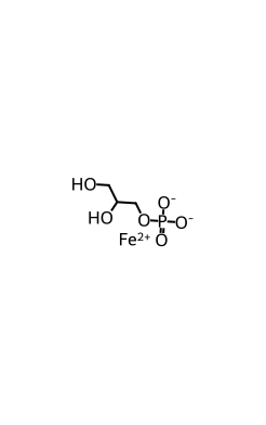 O=P([O-])([O-])OCC(O)CO.[Fe+2]